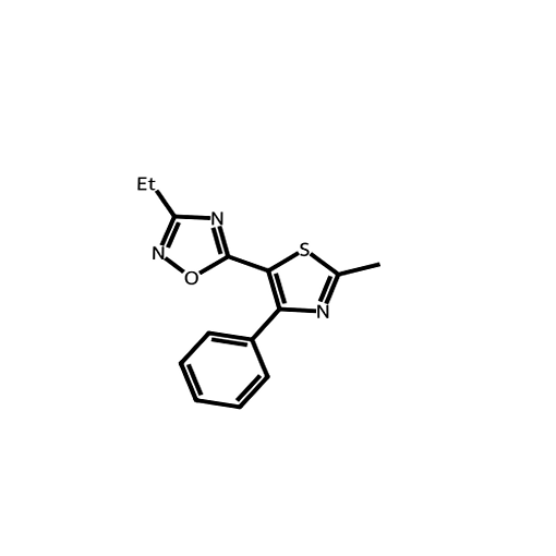 CCc1noc(-c2sc(C)nc2-c2ccccc2)n1